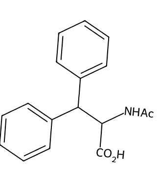 CC(=O)NC(C(=O)O)C(c1ccccc1)c1ccccc1